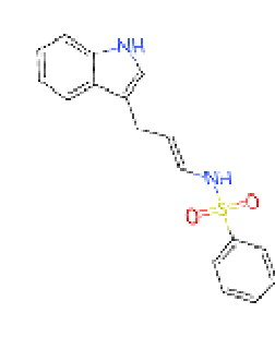 O=S(=O)(NC=CCc1c[nH]c2ccccc12)c1ccccc1